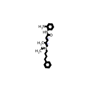 C=NN(/C=C(C)/C=C/C(=O)Nc1ccccc1N)CCCCc1ccccc1